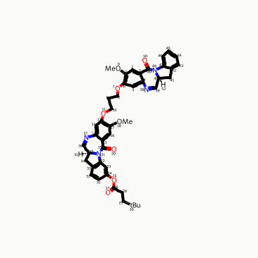 COc1cc2c(cc1OCCCOc1cc3c(cc1OC)C(=O)N1c4cc(OC(=O)CCC(C)(C)C)ccc4C[C@H]1C=N3)N=C[C@@H]1Cc3ccccc3N1C2=O